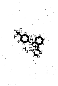 C[SH]1C=NN=C1c1ccccc1Nc1ccc(C(F)(F)F)cc1